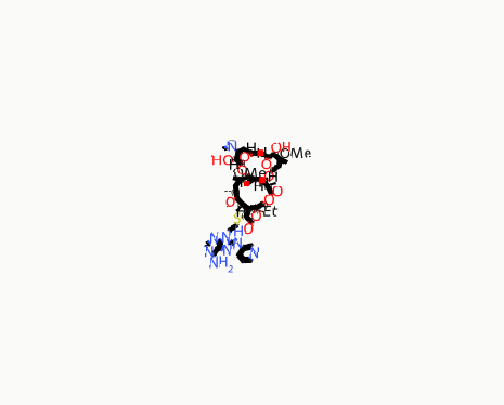 CC[C@H]1OC(=O)[C@H](C)[C@H]2O[C@H]3C[C@@](C)(OC)[C@@H](O)[C@H](C[C@@H]4C[C@H](N(C)C)[C@@H](O)[C@@H](O4)O[C@H]([C@H]2C)[C@](C)(OC)C[C@@H](C)C(=O)[C@H](C)[C@H]2[C@H](SCCn4c(Nc5cccnc5)nc5c(N)ncnc54)C(=O)O[C@@]21C)O3